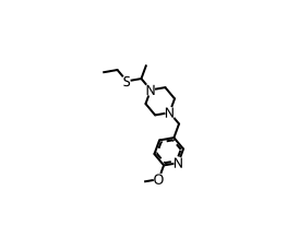 CCSC(C)N1CCN(Cc2ccc(OC)nc2)CC1